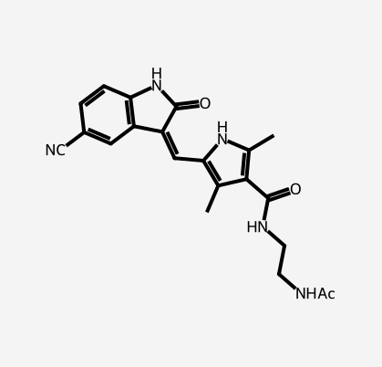 CC(=O)NCCNC(=O)c1c(C)[nH]c(/C=C2\C(=O)Nc3ccc(C#N)cc32)c1C